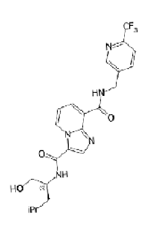 CC(C)C[C@@H](CO)NC(=O)c1cnc2c(C(=O)NCc3ccc(C(F)(F)F)nc3)cccn12